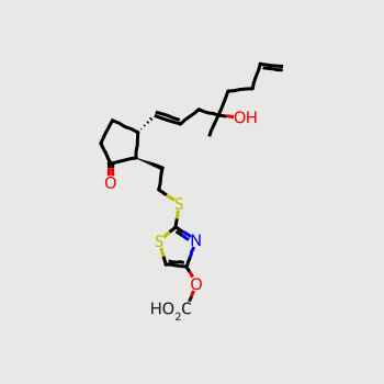 C=CCCC(C)(O)C/C=C/[C@H]1CCC(=O)[C@@H]1CCSc1nc(OC(=O)O)cs1